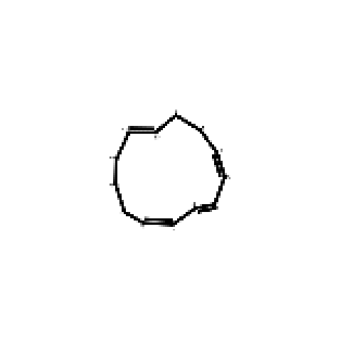 [CH]1C\C=C/C=C/C=C\CC/C=C/C1